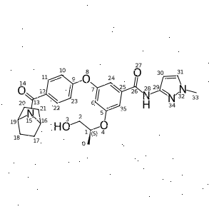 C[C@@H](CO)Oc1cc(Oc2ccc(C(=O)N3C4CCC3CC4)cc2)cc(C(=O)Nc2ccn(C)n2)c1